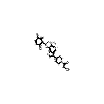 C[C@@H](Oc1c(N)ncc2c(C3=CCN(C(=O)CO)CC3)coc12)c1c(Cl)ccc(F)c1Cl